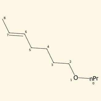 [CH2]CCOCCCCC=CC